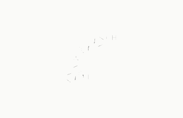 COc1ccccc1C=CC(=O)CC(=O)C=Cc1ccc(O)cc1